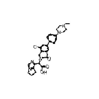 CCN1CCN(c2ccc(-c3cc(Cl)c4c(c3)C(=O)N(C(C(=O)O)c3ncn5c3CCC5)C4)cc2)CC1